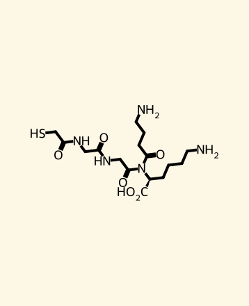 NCCCC[C@@H](C(=O)O)N(C(=O)CCCN)C(=O)CNC(=O)CNC(=O)CS